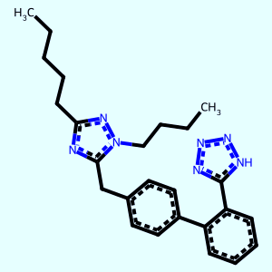 CCCCCc1nc(Cc2ccc(-c3ccccc3-c3nnn[nH]3)cc2)n(CCCC)n1